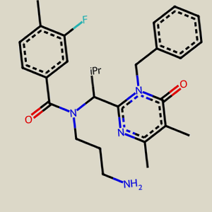 Cc1ccc(C(=O)N(CCCN)C(c2nc(C)c(C)c(=O)n2Cc2ccccc2)C(C)C)cc1F